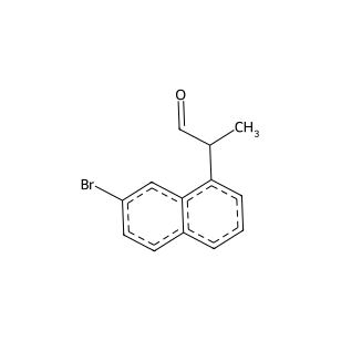 CC(C=O)c1cccc2ccc(Br)cc12